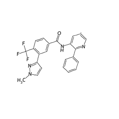 Cn1ccc(-c2cc(C(=O)Nc3c[c]cnc3-c3ccccc3)ccc2C(F)(F)F)n1